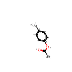 CCCCc1ccc(OC(=O)CC)cc1